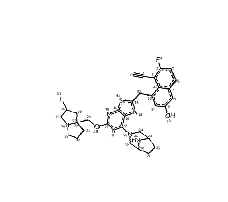 C#Cc1c(F)ccc2cc(O)cc(Cc3nc4c(N5CC6CCC(C5)N6)nc(OC[C@@]56CCCN5CC(F)C6)nc4s3)c12